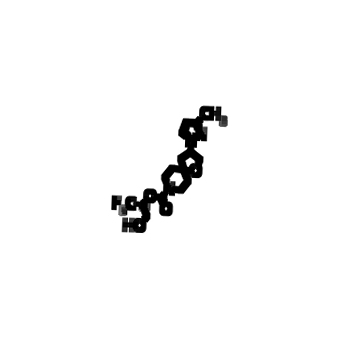 Cc1ccn(C2COC3(CCN(C(=O)O[C@H](CO)C(F)(F)F)CC3)C2)n1